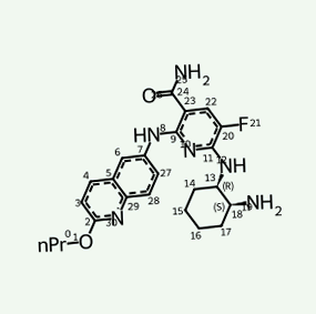 CCCOc1ccc2cc(Nc3nc(N[C@@H]4CCCC[C@@H]4N)c(F)cc3C(N)=O)ccc2n1